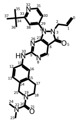 C=CCn1c(=O)c2cnc(Nc3ccc4c(c3)CCN(C(=O)N(C)C)C4)nc2n1-c1ccnc(C(C)(C)C)c1